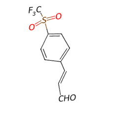 O=C/C=C/c1ccc(S(=O)(=O)C(F)(F)F)cc1